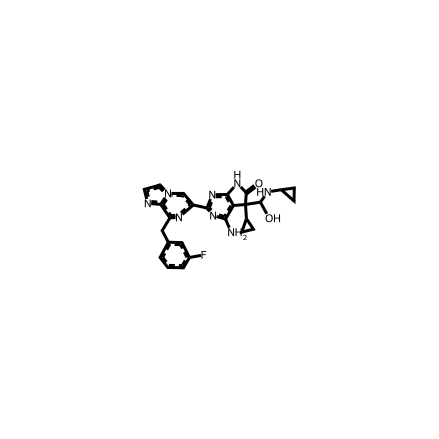 Nc1nc(-c2cn3ccnc3c(Cc3cccc(F)c3)n2)nc2c1C(C1CC1)(C(O)NC1CC1)C(=O)N2